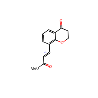 COC(=O)/C=C/c1cccc2c1OCCC2=O